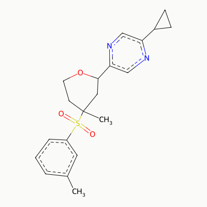 Cc1cccc(S(=O)(=O)C2(C)CCOC(c3cnc(C4CC4)cn3)C2)c1